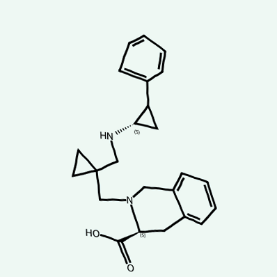 O=C(O)[C@@H]1Cc2ccccc2CN1CC1(CN[C@H]2CC2c2ccccc2)CC1